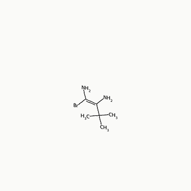 CC(C)(C)/C(N)=C(/N)Br